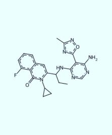 CCC(Nc1ncnc(N)c1-c1nc(C)no1)c1cc2cccc(F)c2c(=O)n1C1CC1